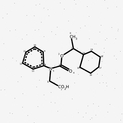 CC(OC(=O)N(CC(=O)O)c1ccccc1)C1CCCCC1